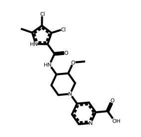 COC1CN(c2ccnc(C(=O)O)c2)CCC1NC(=O)c1[nH]c(C)c(Cl)c1Cl